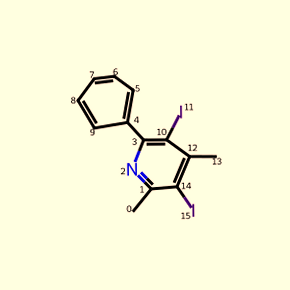 Cc1nc(-c2ccccc2)c(I)c(C)c1I